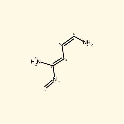 C=N/C(N)=C/C=C\N